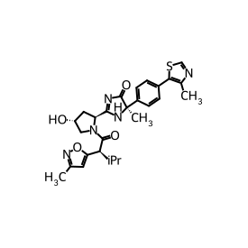 Cc1cc([C@@H](C(=O)N2C[C@H](O)C[C@H]2C2=NC(=O)[C@@](C)(c3ccc(-c4scnc4C)cc3)N2)C(C)C)on1